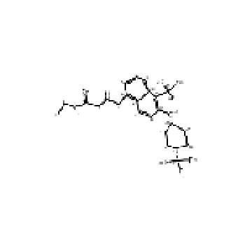 CCOC(=O)CNCc1cccc2c(C(F)(F)F)c(O[C@H]3CC[C@@H](C(F)(F)F)CC3)ccc12